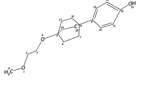 COCCOC12CCC(c3ccc(O)cc3)(CC1)CC2